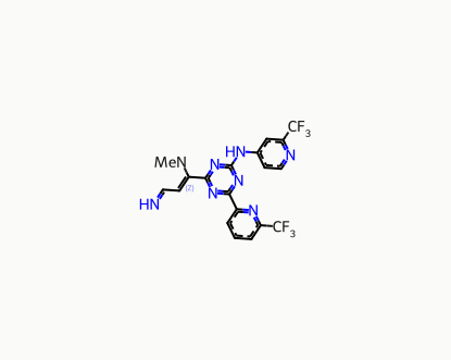 CN/C(=C\C=N)c1nc(Nc2ccnc(C(F)(F)F)c2)nc(-c2cccc(C(F)(F)F)n2)n1